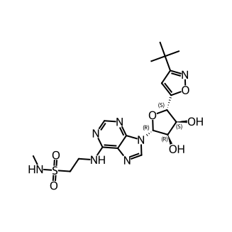 CNS(=O)(=O)CCNc1ncnc2c1ncn2[C@@H]1O[C@H](c2cc(C(C)(C)C)no2)[C@@H](O)[C@H]1O